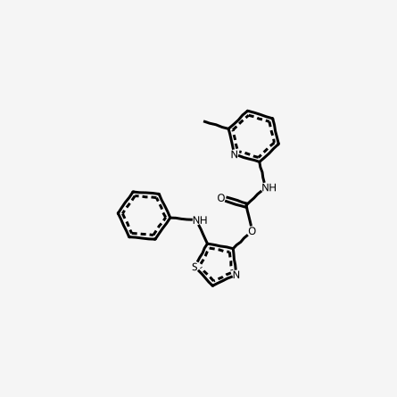 Cc1cccc(NC(=O)Oc2ncsc2Nc2ccccc2)n1